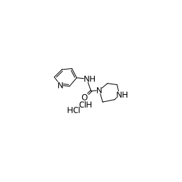 Cl.Cl.O=C(Nc1cccnc1)N1CCNCC1